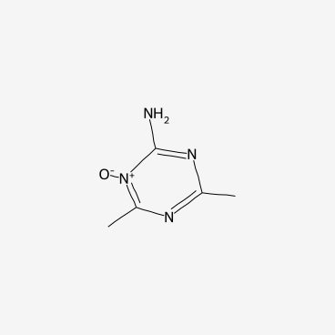 Cc1nc(C)[n+]([O-])c(N)n1